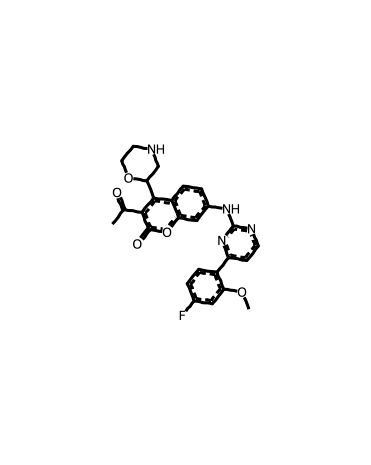 COc1cc(F)ccc1-c1ccnc(Nc2ccc3c(C4CNCCO4)c(C(C)=O)c(=O)oc3c2)n1